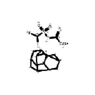 C1C2CC3C4CC5CC(C14)C(C2)C3C5.COC(=O)OS(=O)(=O)C(F)F